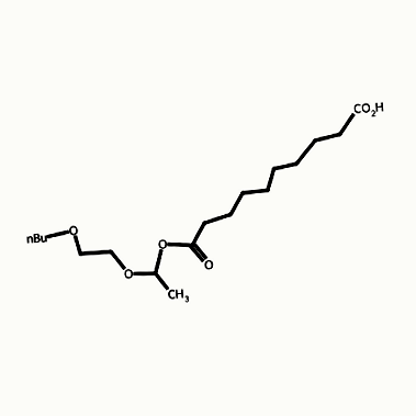 CCCCOCCOC(C)OC(=O)CCCCCCCCC(=O)O